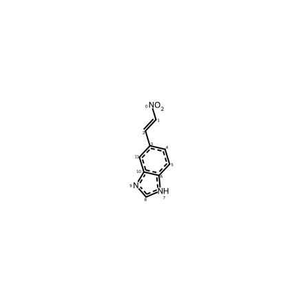 O=[N+]([O-])C=Cc1ccc2[nH]cnc2c1